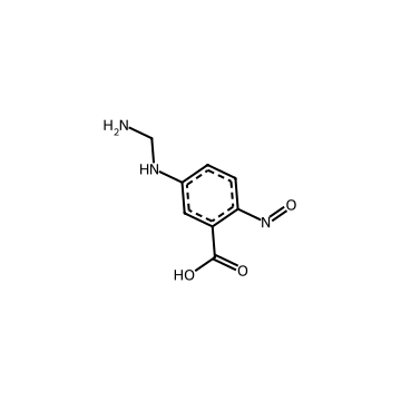 NCNc1ccc(N=O)c(C(=O)O)c1